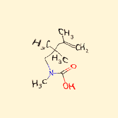 C=C(C)C(C)(C)CN(C)C(=O)O